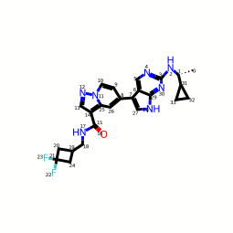 C[C@@H](Nc1ncc2c(-c3ccn4ncc(C(=O)NCC5CC(F)(F)C5)c4c3)c[nH]c2n1)C1CC1